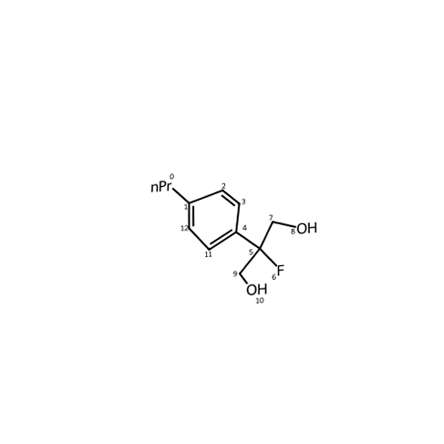 CCCc1ccc(C(F)(CO)CO)cc1